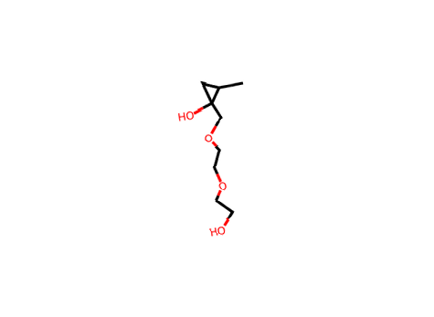 CC1CC1(O)COCCOCCO